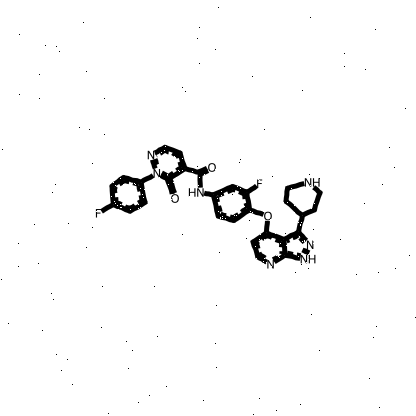 O=C(Nc1ccc(Oc2ccnc3[nH]nc(C4CCNCC4)c23)c(F)c1)c1ccnn(-c2ccc(F)cc2)c1=O